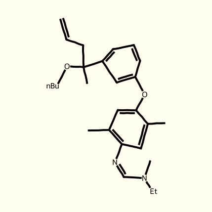 C=CCC(C)(OCCCC)c1cccc(Oc2cc(C)c(/N=C\N(C)CC)cc2C)c1